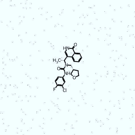 C[C@H](c1c[nH]c(=O)c2ccccc12)N(C[C@@H]1CCOC1)C(=O)Nc1ccc(F)c(Cl)c1